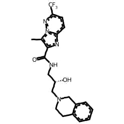 Cc1c(C(=O)NC[C@H](O)CN2CCc3ccccc3C2)nc2ccc(C(F)(F)F)nn12